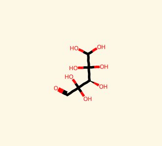 O=CC(O)(O)[C@H](O)C(O)(O)C(O)O